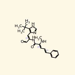 CN/C(=C\C=C\c1ccccc1)C(=O)N/C(C=O)=C\c1nc[nH]c1C(C)(C)C